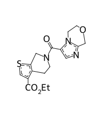 CCOC(=O)c1csc2c1CCN(C(=O)c1cnc3n1CCOC3)C2